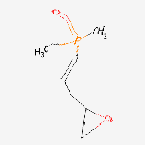 CP(C)(=O)/C=C/C1CO1